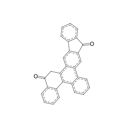 O=C1c2ccccc2-c2cc3c4c(c5ccccc5c3cc21)-c1ccccc1C(=O)C4